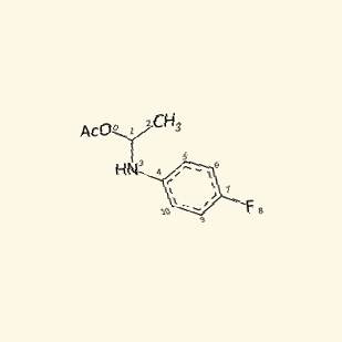 CC(=O)OC(C)Nc1ccc(F)cc1